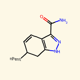 CCCCCC1C=Cc2c(C(N)=O)n[nH]c2C1